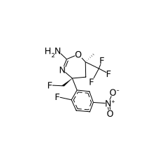 C[C@]1(C(F)(F)F)C[C@](CF)(c2cc([N+](=O)[O-])ccc2F)N=C(N)O1